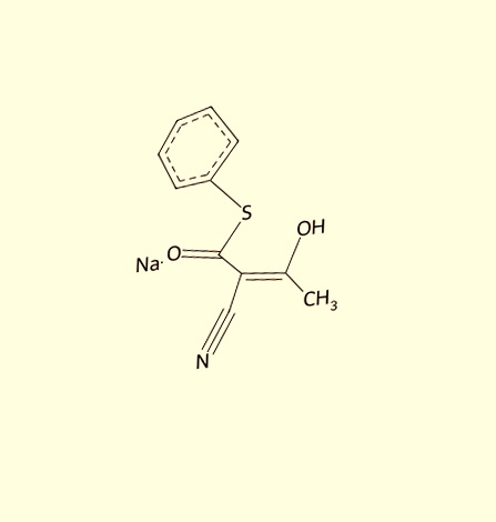 CC(O)=C(C#N)C(=O)Sc1ccccc1.[Na]